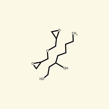 C(OCC1CO1)C1CO1.CCCCCC(O)CCO